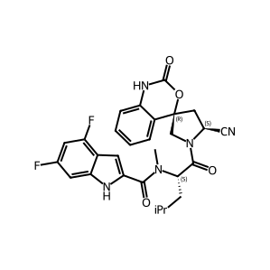 CC(C)C[C@@H](C(=O)N1C[C@]2(C[C@H]1C#N)OC(=O)Nc1ccccc12)N(C)C(=O)c1cc2c(F)cc(F)cc2[nH]1